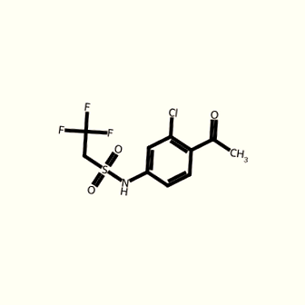 CC(=O)c1ccc(NS(=O)(=O)CC(F)(F)F)cc1Cl